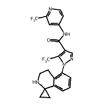 O=C(Nc1ccnc(C(F)(F)F)c1)c1cnn(-c2cccc3c2CCNC32CC2)c1C(F)(F)F